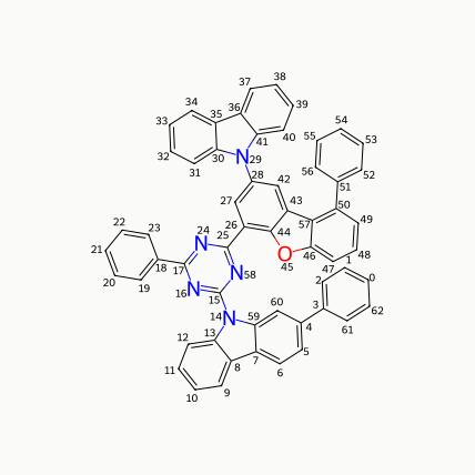 c1ccc(-c2ccc3c4ccccc4n(-c4nc(-c5ccccc5)nc(-c5cc(-n6c7ccccc7c7ccccc76)cc6c5oc5cccc(-c7ccccc7)c56)n4)c3c2)cc1